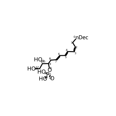 CCCCCCCCCCC\C=C/C=C/C=C/CC(OP(=O)(O)O)[C@@H](O)CO